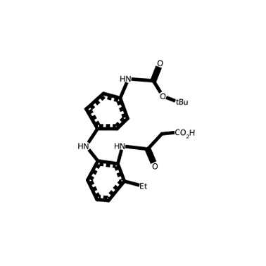 CCc1cccc(Nc2ccc(NC(=O)OC(C)(C)C)cc2)c1NC(=O)CC(=O)O